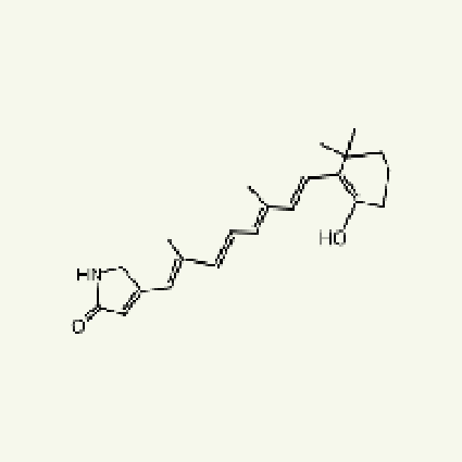 CC(/C=C/C1=C(O)CCCC1(C)C)=C\C=C\C(C)=C\C1=CC(=O)NC1